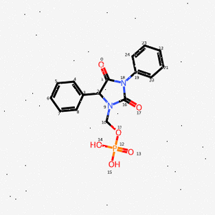 O=C1C(c2ccccc2)N(COP(=O)(O)O)C(=O)N1c1ccccc1